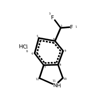 Cl.FC(F)c1ccc2c(c1)CNC2